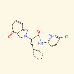 O=C1CC=CC2=CN(C(CC3CCCCC3)C(=O)Nc3ccc(Cl)cn3)CC12